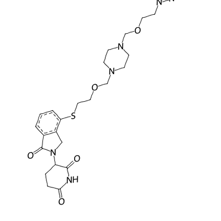 [N-]=[N+]=NCCOCN1CCN(COCCSc2cccc3c2CN(C2CCC(=O)NC2=O)C3=O)CC1